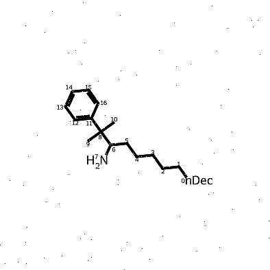 CCCCCCCCCCCCCCCC(N)C(C)(C)c1ccccc1